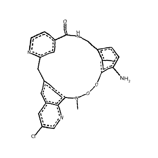 Cc1c2ccc(N)c1OON(C)c1cc(cc3cc(Cl)cnc13)Cc1cc(ccn1)C(=O)NC2